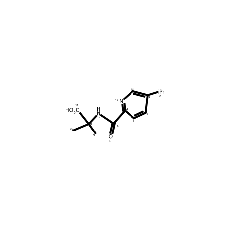 CC(C)c1ccc(C(=O)NC(C)(C)C(=O)O)nc1